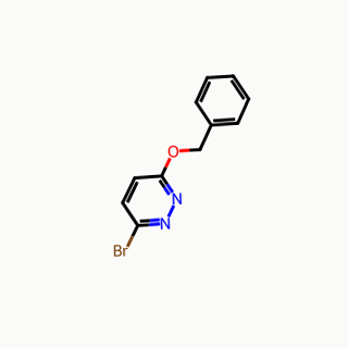 Brc1ccc(OCc2ccccc2)nn1